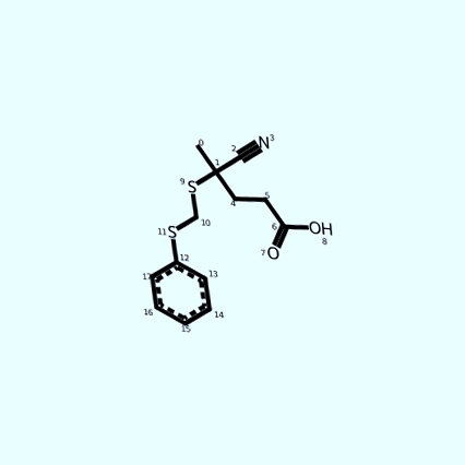 CC(C#N)(CCC(=O)O)SCSc1ccccc1